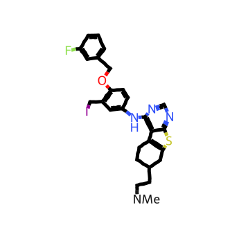 CNCCC1CCc2c(sc3ncnc(Nc4ccc(OCc5cccc(F)c5)c(CI)c4)c23)C1